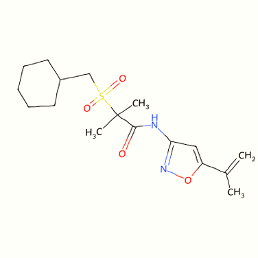 C=C(C)c1cc(NC(=O)C(C)(C)S(=O)(=O)CC2CCCCC2)no1